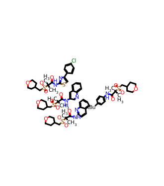 CC(C)(C(=O)Nc1ccc2ccccc2n1)S(=O)(=O)CC1CCOCC1.CC(C)(C(=O)Nc1cnc2ccccc2c1)S(=O)(=O)CC1CCOCC1.CC(C)(C(=O)Nc1nc(-c2ccc(Cl)cc2)cs1)S(=O)(=O)CC1CCOCC1.CC(C)(C)c1ccc(NC(=O)C(C)(C)S(=O)(=O)CC2CCOCC2)cc1